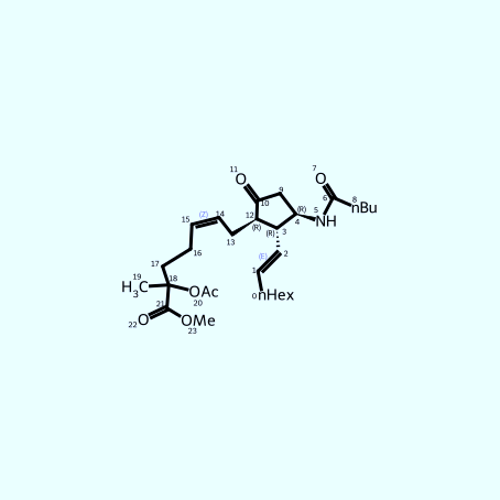 CCCCCC/C=C/[C@H]1[C@H](NC(=O)CCCC)CC(=O)[C@@H]1C/C=C\CCC(C)(OC(C)=O)C(=O)OC